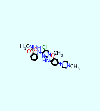 CNS(=O)(=O)c1ccccc1Nc1nc(Nc2ccc(N3CCN(C)CC3)cc2OC)ncc1Cl